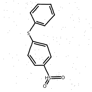 O=[SH](=O)c1ccc(Sc2ccccc2)cc1